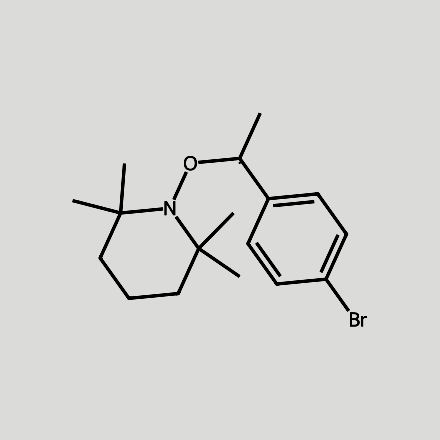 C[C](ON1C(C)(C)CCCC1(C)C)c1ccc(Br)cc1